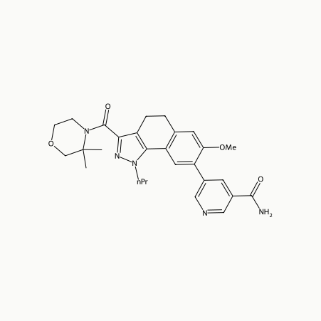 CCCn1nc(C(=O)N2CCOCC2(C)C)c2c1-c1cc(-c3cncc(C(N)=O)c3)c(OC)cc1CC2